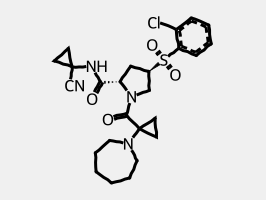 N#CC1(NC(=O)[C@@H]2C[C@@H](S(=O)(=O)c3ccccc3Cl)CN2C(=O)C2(N3CCCCCC3)CC2)CC1